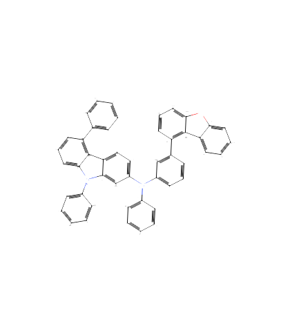 c1ccc(-c2cccc3c2c2ccc(N(c4ccccc4)c4cccc(-c5cccc6oc7ccccc7c56)c4)cc2n3-c2ccccc2)cc1